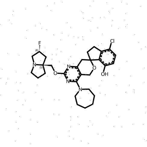 Oc1ccc(Cl)c2c1C1(CC2)Cc2nc(OC[C@@]34CCCN3C[C@H](F)C4)nc(N3CCCCCC3)c2CO1